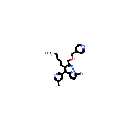 CCOC(=O)CCCCc1c(COCc2ccncc2)nn2c(CC)ccc2c1-c1cncc(C)c1